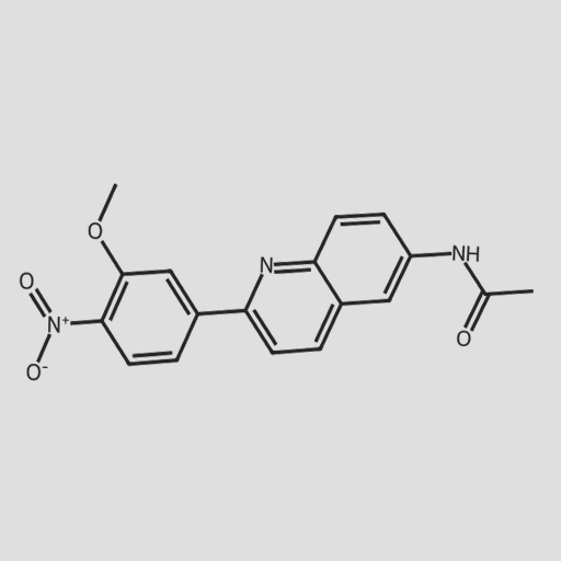 COc1cc(-c2ccc3cc(NC(C)=O)ccc3n2)ccc1[N+](=O)[O-]